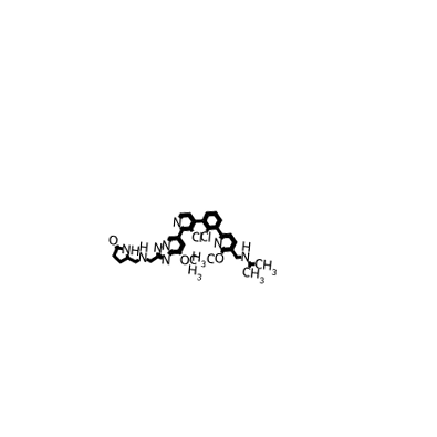 COc1nc(-c2cccc(-c3ccnc(-c4cc(OC)c5nc(CNCC6CCC(=O)N6)nn5c4)c3Cl)c2Cl)ccc1CNC(C)C